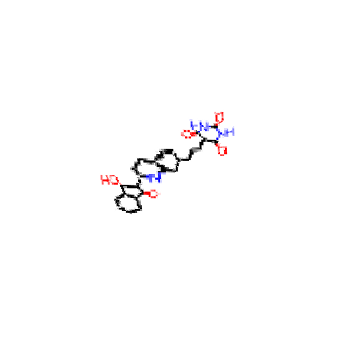 O=C1NC(=O)C(=C/C=C/c2ccc3ccc(C4=C(O)c5ccccc5C4=O)nc3c2)C(=O)N1